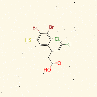 O=C(O)CC(C=C(Cl)Cl)c1cc(S)c(Br)c(Br)c1